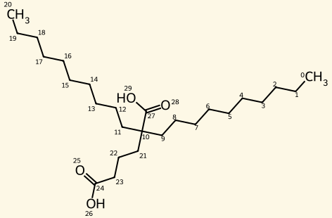 CCCCCCCCCCC(CCCCCCCCCC)(CCCC(=O)O)C(=O)O